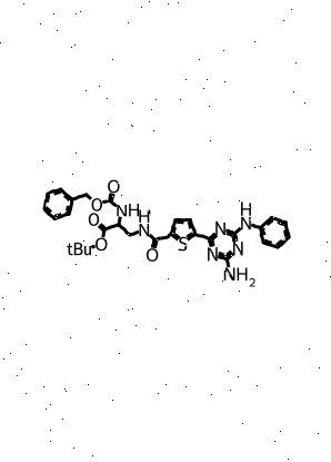 CC(C)(C)OC(=O)C(CNC(=O)c1ccc(-c2nc(N)nc(Nc3ccccc3)n2)s1)NC(=O)OCc1ccccc1